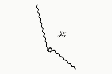 CCCCCCCCCCCCCCCCCCn1cc[n+](CCCCCCCCCCCC)c1.O=C([O-])[O-].[H+]